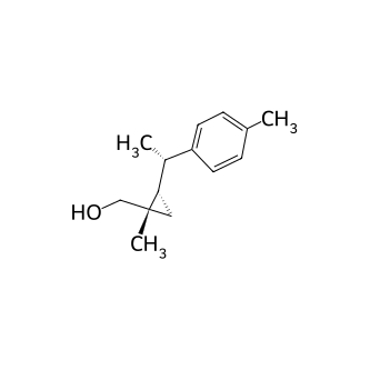 Cc1ccc([C@@H](C)[C@@H]2C[C@]2(C)CO)cc1